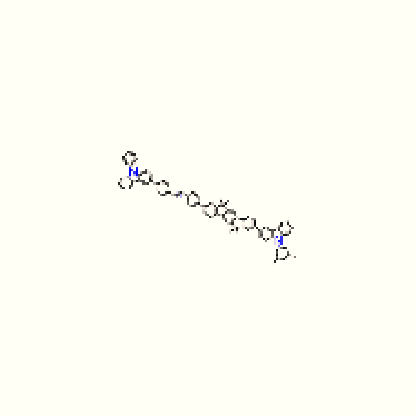 Cc1cc(C)cc(-n2c3ccccc3c3cc(-c4ccc5c(c4)C(C)(C)c4cc6c(cc4-5)C(C)(C)c4cc(-c5ccc(/C=C/c7ccc(-c8ccc9c(c8)c8ccccc8n9-c8ccccc8)cc7)cc5)ccc4-6)ccc32)c1